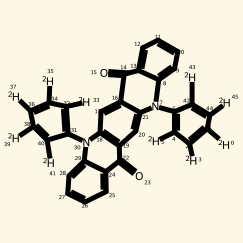 [2H]c1c([2H])c([2H])c(-n2c3ccccc3c(=O)c3cc4c(cc32)c(=O)c2ccccc2n4-c2c([2H])c([2H])c([2H])c([2H])c2[2H])c([2H])c1[2H]